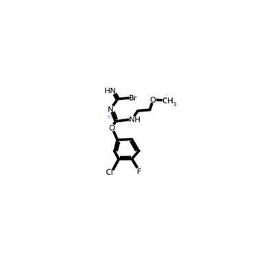 COCCN/C(=N\C(=N)Br)Oc1ccc(F)c(Cl)c1